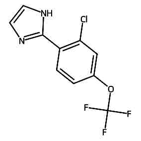 FC(F)(F)Oc1ccc(-c2ncc[nH]2)c(Cl)c1